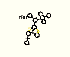 CC(C)(C)c1cccc(-c2cc(-c3cc4c5c(c3)Sc3ccc(C(C)(C)c6ccccc6)cc3B5c3ccccc3S4)cc(-c3c4ccccc4c(-c4ccccc4)c4ccccc34)c2)c1